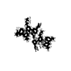 CC(C)(C)CC(C)(C)C1=CC(n2c3ccc(C(C)(C)C)cc3c3cc(C(C)(C)C)ccc32)C(O)(OCCCOc2ccc(C#N)cc2-c2cc(C(C)(C)CC(C)(C)C)cc(-n3c4ccc(C(C)(C)C)cc4c4cc(C(C)(C)C)ccc43)c2O)C(c2cccc(C#N)c2)=C1